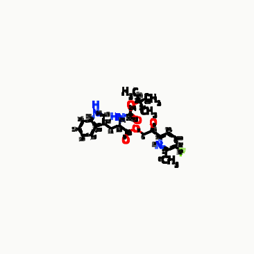 Cc1nc(C(=O)COC(=O)C(Cc2c[nH]c3ccccc23)NC(=O)OC(C)(C)C)ccc1F